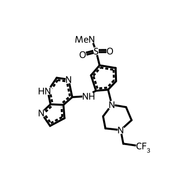 CNS(=O)(=O)c1ccc(N2CCN(CC(F)(F)F)CC2)c(Nc2nc[nH]c3nccc2-3)c1